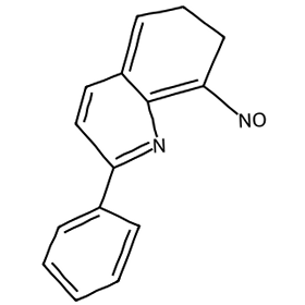 O=NC1=c2nc(-c3ccccc3)ccc2=CCC1